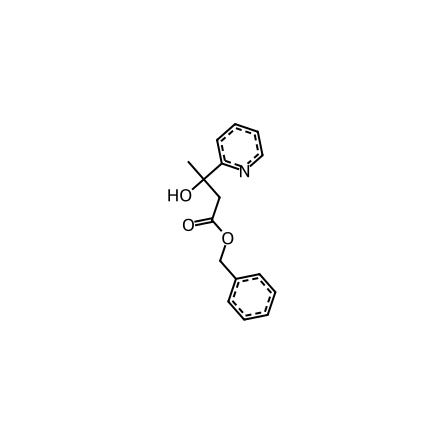 CC(O)(CC(=O)OCc1ccccc1)c1ccccn1